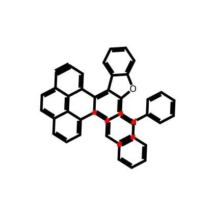 c1cc(-c2ccc(N(c3ccccc3)c3ccccc3)c3oc4ccccc4c23)c2c(c#1)ccc1cccc(Cc3ccccc3)c12